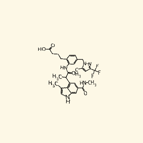 CNC(=O)c1cc(C(C)C(=O)Nc2cc(Cn3nc(C(F)(F)F)cc3C)ccc2CCCC(=O)O)c2c(C)c[nH]c2c1